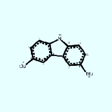 CC(C)(C)c1ccc2c(c1)-c1cc(C(C)(C)C)ccc1[N]2